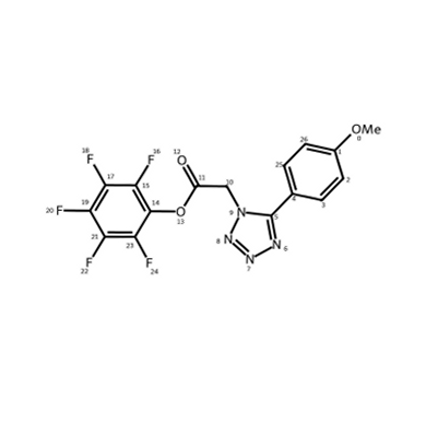 COc1ccc(-c2nnnn2CC(=O)Oc2c(F)c(F)c(F)c(F)c2F)cc1